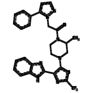 CC1CN(c2sc(C(F)(F)F)nc2-c2nc3ccccc3[nH]2)CCN1C(=O)Cn1nccc1-c1ccccc1